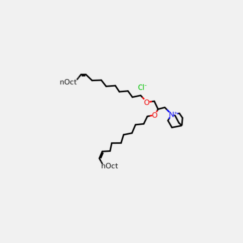 CCCCCCCC/C=C\CCCCCCCCOCC(C[N+]12CCC(CC1)CC2)OCCCCCCCC/C=C\CCCCCCCC.[Cl-]